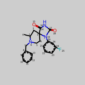 CC1CC2(CCN1Cc1ccccc1)C(=O)NC(=O)N2c1cccc(F)c1